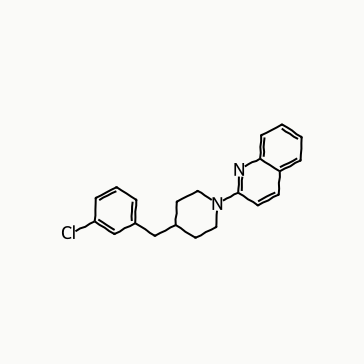 Clc1cccc(CC2CCN(c3ccc4ccccc4n3)CC2)c1